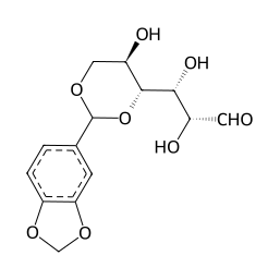 O=C[C@H](O)[C@@H](O)[C@@H]1OC(c2ccc3c(c2)OCO3)OC[C@H]1O